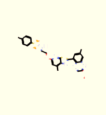 COc1cnc2c(-c3nc4c(C)cc(OCCNS(=O)(=O)c5ccc(C)cc5)nc4s3)cc(C)cc2n1